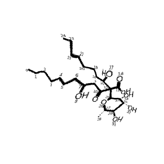 CCCCCCCC(O)CC(=O)C(C(=O)O)(C(O)CCCCCCC)C1O[C@@H](C)[C@H](O)[C@@H](O)[C@H]1O